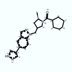 C[C@@H]1CC(Cn2ncc3cc(-c4cn[nH]c4)ccc32)CN1C(=O)C1CCCCC1